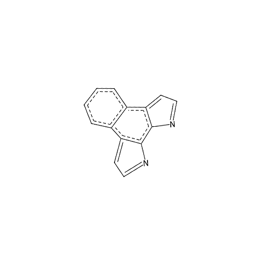 C1=Nc2c3c(c4ccccc4c2=C1)=CC=N3